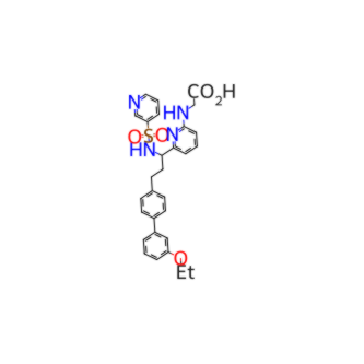 CCOc1cccc(-c2ccc(CCC(NS(=O)(=O)c3cccnc3)c3cccc(NCC(=O)O)n3)cc2)c1